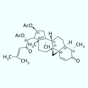 CC(=O)O[C@H]1C[C@@]2(C)[C@@H]3CC[C@H]4[C@H](C)C(=O)C=C[C@@]45C[C@@]35CC[C@]2(C)C1[C@@H](OC(C)=O)C(=O)C=C(C)C